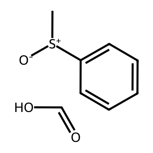 C[S+]([O-])c1ccccc1.O=CO